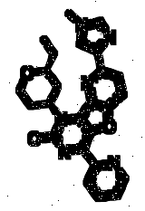 CC[C@H]1C[C@@H](n2c(=O)nc(-c3ccccn3)c3oc4ccc(-c5cn(C)cn5)nc4c32)CCO1